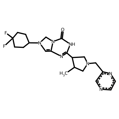 CC1CN(Cc2cnccn2)CC1C1=NC2=CN(C3CCC(F)(F)CC3)CN2C(=O)N1